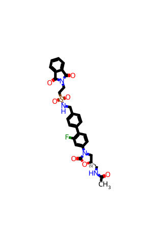 CC(=O)NC[C@H]1CN(c2ccc(-c3ccc(CNS(=O)(=O)CCN4C(=O)c5ccccc5C4=O)cc3)c(F)c2)C(=O)O1